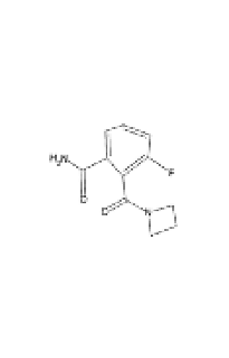 NC(=O)c1cccc(F)c1C(=O)N1CCC1